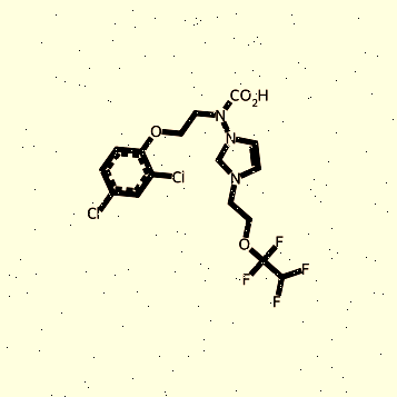 O=C(O)N(CCOc1ccc(Cl)cc1Cl)N1C=CN(CCOC(F)(F)C(F)F)C1